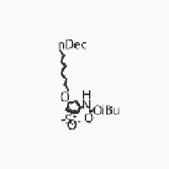 CCCCCCCCCCCCCCCCCCOc1cc(NC(=O)OCC(C)C)cc([S+](C)[O-])c1